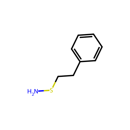 NSCCc1ccccc1